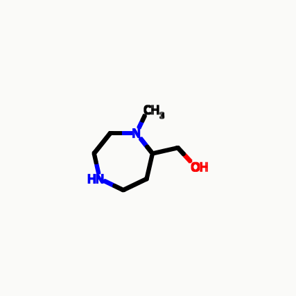 CN1CCNCCC1CO